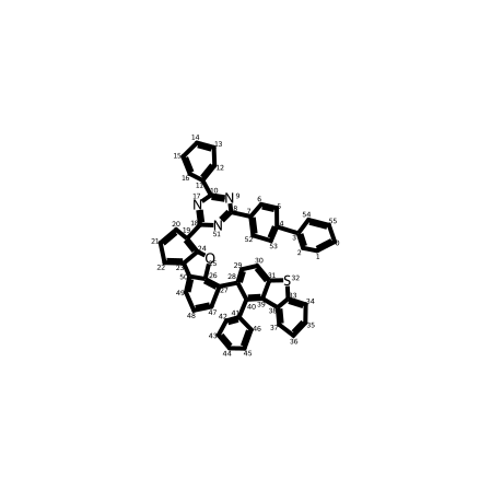 c1ccc(-c2ccc(-c3nc(-c4ccccc4)nc(-c4cccc5c4oc4c(-c6ccc7sc8ccccc8c7c6-c6ccccc6)cccc45)n3)cc2)cc1